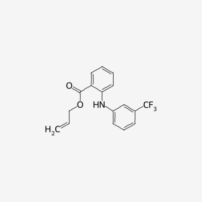 C=CCOC(=O)c1ccccc1Nc1cccc(C(F)(F)F)c1